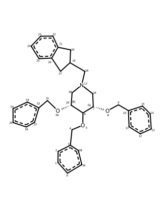 c1ccc(COC2[C@@H](OCc3ccccc3)CN(CC3Cc4ccccc4C3)C[C@H]2OCc2ccccc2)cc1